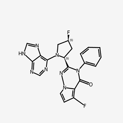 O=c1c2c(F)ccn2nc([C@@H]2C[C@H](F)CN2c2ncnc3[nH]cnc23)n1-c1ccccc1